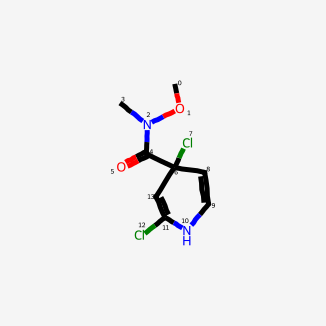 CON(C)C(=O)C1(Cl)C=CNC(Cl)=C1